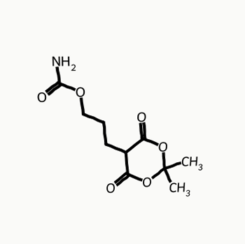 CC1(C)OC(=O)C(CCCOC(N)=O)C(=O)O1